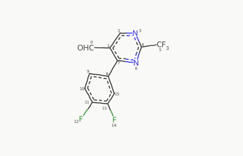 O=Cc1cnc(C(F)(F)F)nc1-c1ccc(F)c(F)c1